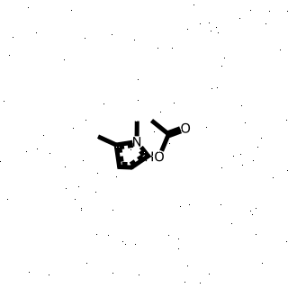 CC(=O)O.Cc1cccn1C